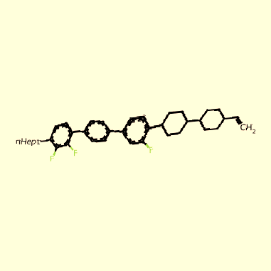 C=CC1CCC(C2CCC(c3ccc(-c4ccc(-c5ccc(CCCCCCC)c(F)c5F)cc4)cc3F)CC2)CC1